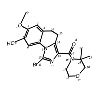 COc1cc2c(cc1O)-n1c(Br)nc(C(=O)N3CCOCC3(C)C)c1CC2